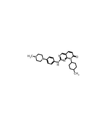 CC1CCC(n2c(=O)ccc3cnc(Nc4ccc(N5CCN(C)CC5)cc4)nc32)CC1